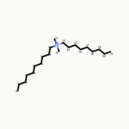 CCCCCCCCCC[N+](C)(C)CCCCCCCCC